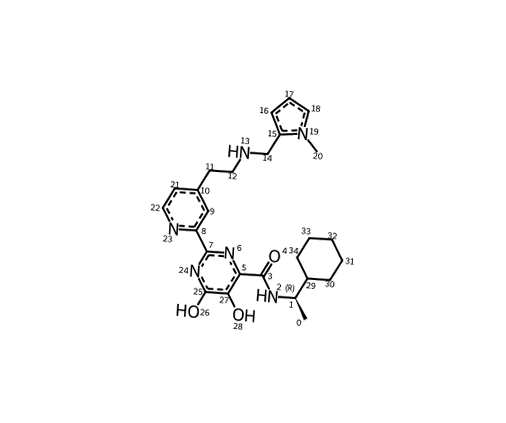 C[C@@H](NC(=O)c1nc(-c2cc(CCNCc3cccn3C)ccn2)nc(O)c1O)C1CCCCC1